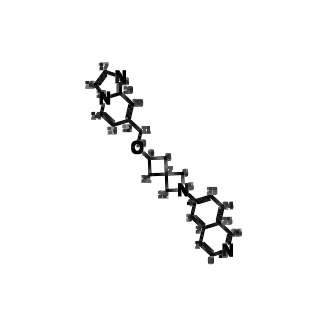 c1cc2cc(N3CC4(CC(OCc5ccn6ccnc6c5)C4)C3)ccc2cn1